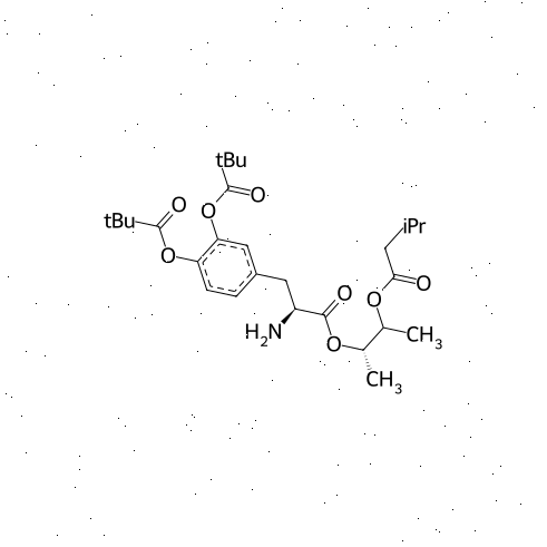 CC(C)CC(=O)OC(C)[C@H](C)OC(=O)[C@@H](N)Cc1ccc(OC(=O)C(C)(C)C)c(OC(=O)C(C)(C)C)c1